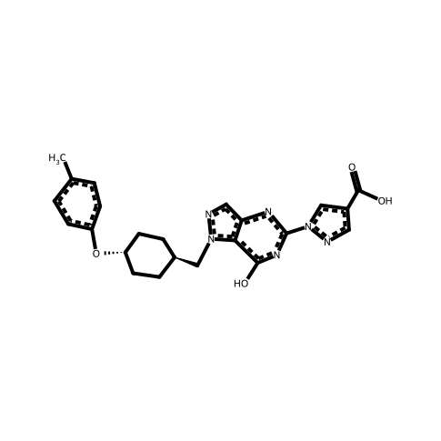 Cc1ccc(O[C@H]2CC[C@H](Cn3ncc4nc(-n5cc(C(=O)O)cn5)nc(O)c43)CC2)cc1